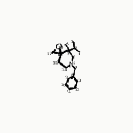 CC(C)C1(C)CN(Cc2ccccc2)CCC12CO2